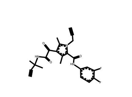 C#CCn1c(C)c(C(=O)C(=O)NC(C)(C)C#C)c(C)c1C(=O)Nc1ccc(F)c(F)c1